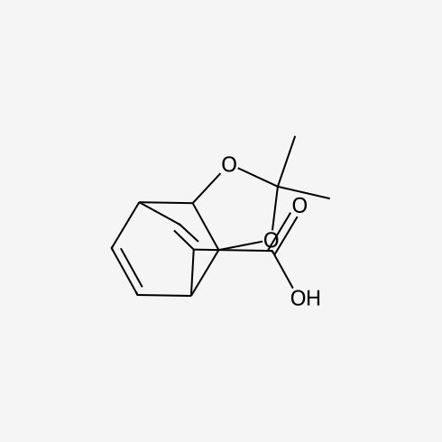 CC1(C)OC2C3C=CC(C(C(=O)O)=C3)C2O1